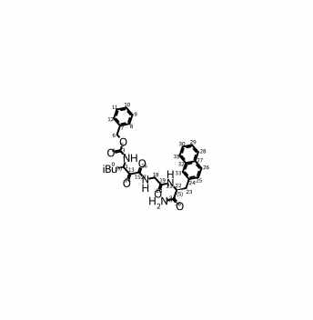 CC[C@H](C)C(NC(=O)OCc1ccccc1)C(=O)C(=O)NCC(=O)N[C@@H](Cc1ccc2ccccc2c1)C(N)=O